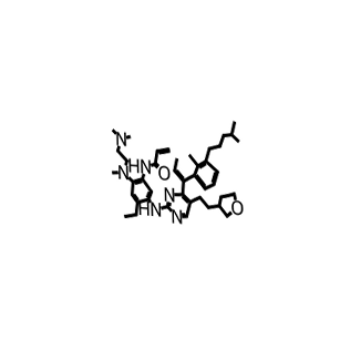 C=CC(=O)Nc1cc(Nc2ncc(CCC3CCOC3)c(/C(=C/C)c3cccc(CCCC(C)C)c3C)n2)c(CC)cc1N(C)CCN(C)C